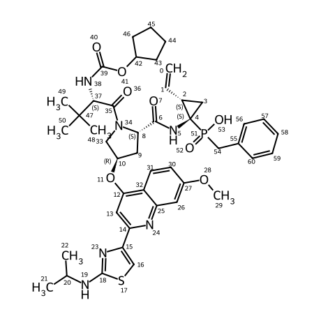 C=C[C@@H]1C[C@]1(NC(=O)[C@@H]1C[C@@H](Oc2cc(-c3csc(NC(C)C)n3)nc3cc(OC)ccc23)CN1C(=O)[C@@H](NC(=O)OC1CCCC1)C(C)(C)C)P(=O)(O)Cc1ccccc1